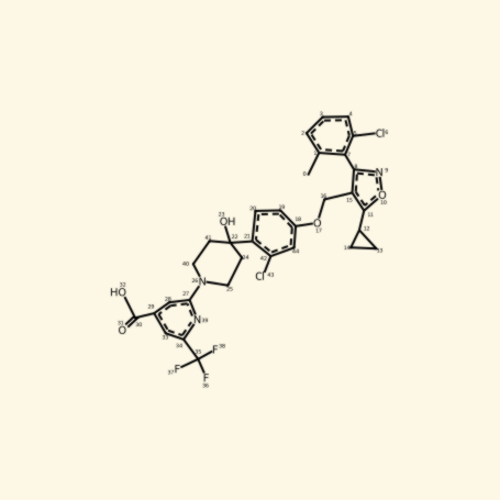 Cc1cccc(Cl)c1-c1noc(C2CC2)c1COc1ccc(C2(O)CCN(c3cc(C(=O)O)cc(C(F)(F)F)n3)CC2)c(Cl)c1